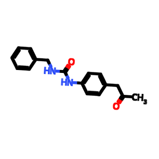 CC(=O)Cc1ccc(NC(=O)NCc2ccccc2)cc1